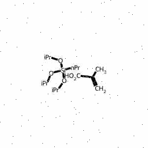 C=C(C)C(=O)O.CCC[Si](OC(C)C)(OC(C)C)OC(C)C